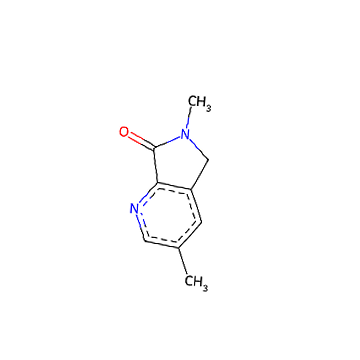 Cc1cnc2c(c1)CN(C)C2=O